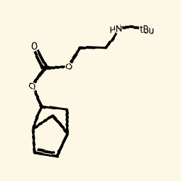 CC(C)(C)NCCOC(=O)OC1CC2C=CC1C2